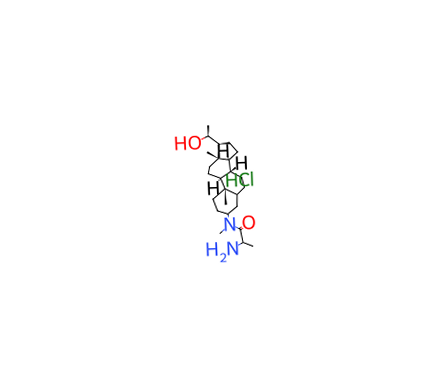 CC(N)C(=O)N(C)C1CC[C@@]2(C)C(CC[C@H]3[C@@H]4CC[C@H]([C@H](C)O)[C@@]4(C)CC[C@@H]32)C1.Cl